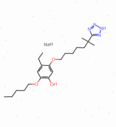 CCCCCOc1cc(CC)c(OCCCCCC(C)(C)c2nn[nH]n2)cc1O.[NaH]